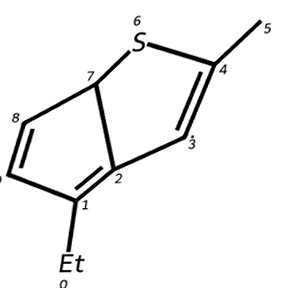 CCC1=C2[C]=C(C)SC2C=C1